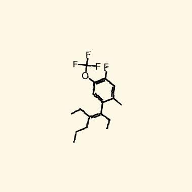 CCC/C(CC)=C(\CC)c1cc(OC(F)(F)F)c(F)cc1C